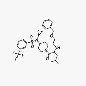 CC(C)CC(NCCOCc1ccccc1)C(=O)N1CCC(N(C2CC2)S(=O)(=O)c2cccc(C(F)(F)F)c2)CC1